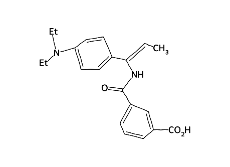 C/C=C(\NC(=O)c1cccc(C(=O)O)c1)c1ccc(N(CC)CC)cc1